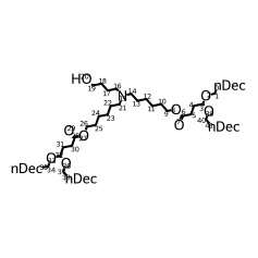 CCCCCCCCCCCOC(CCC(=O)OCCCCCCN(CCCCO)CCCCCCOC(=O)CCC(OCCCCCCCCCCC)OCCCCCCCCCCC)OCCCCCCCCCCC